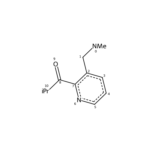 CNCc1cccnc1C(=O)C(C)C